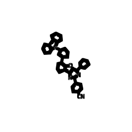 N#Cc1ccc(-c2nc(-c3ccccc3)c3oc4c(-c5cccc(-n6c7ccccc7c7ccccc76)c5)cccc4c3n2)cc1